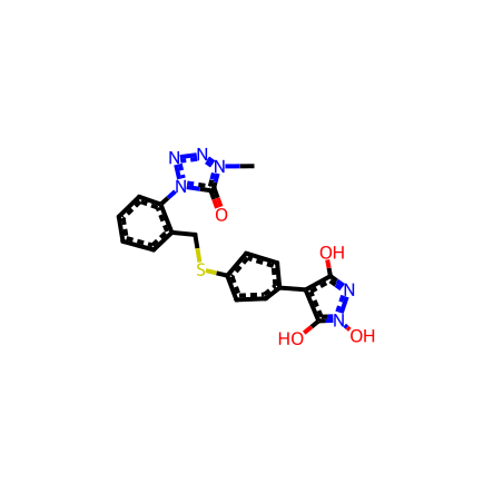 Cn1nnn(-c2ccccc2CSc2ccc(-c3c(O)nn(O)c3O)cc2)c1=O